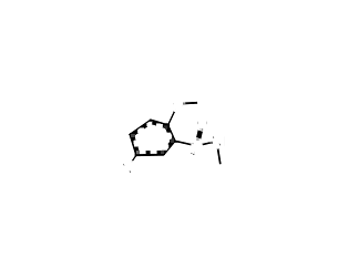 CNS(=O)(=O)c1cc(N)ccc1OC